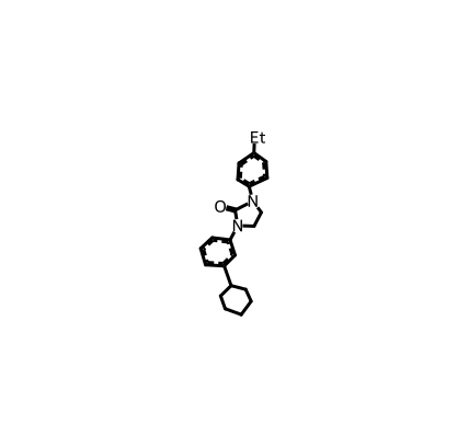 CCc1ccc(N2CCN(c3cccc(C4CCCCC4)c3)C2=O)cc1